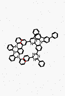 c1ccc(-c2ccc3c(c2)c2ccccc2n3-c2ccc(-c3nc(-c4ccccc4)nc(-c4ccccc4)n3)cc2-c2nc(-c3ccccc3)cc(-c3cccc(-c4ccc5c6c4N(c4ccccc4)c4ccccc4B6c4ccccc4N5c4ccccc4)c3)n2)cc1